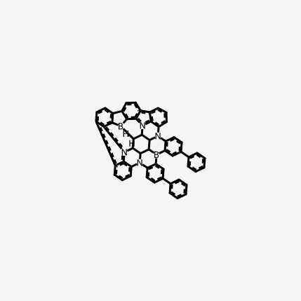 c1ccc(-c2ccc3c(c2)B2c4cc(-c5ccccc5)ccc4N4c5cccc6c7ccc8c9c7n(c56)[C@@H]5C4C2C2C4[C@@H]5B9c5c-8ccc6c7cccc(c7n4c56)N32)cc1